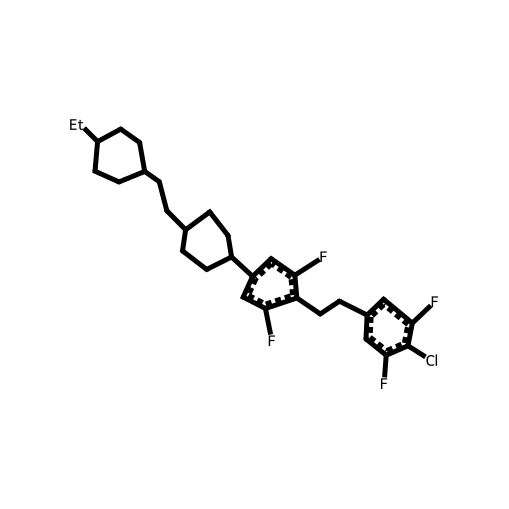 CCC1CCC(CCC2CCC(c3cc(F)c(CCc4cc(F)c(Cl)c(F)c4)c(F)c3)CC2)CC1